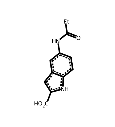 CCC(=O)Nc1ccc2[nH]c(C(=O)O)cc2c1